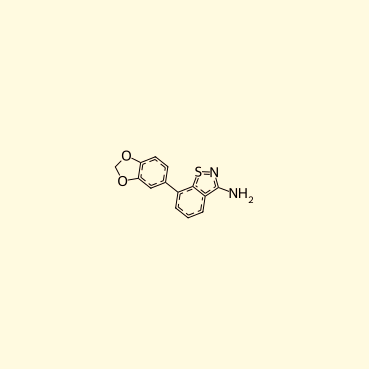 Nc1nsc2c(-c3ccc4c(c3)OCO4)cccc12